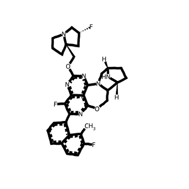 Cc1c(F)ccc2cccc(-c3nc4c5c(nc(OC[C@@]67CCCN6C[C@H](F)C7)nc5c3F)N3C[C@@H]5CC[C@@H](N5)C3CO4)c12